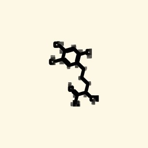 CCC(=O)C(C#N)CCCc1cc(Cl)c(Cl)cc1Cl